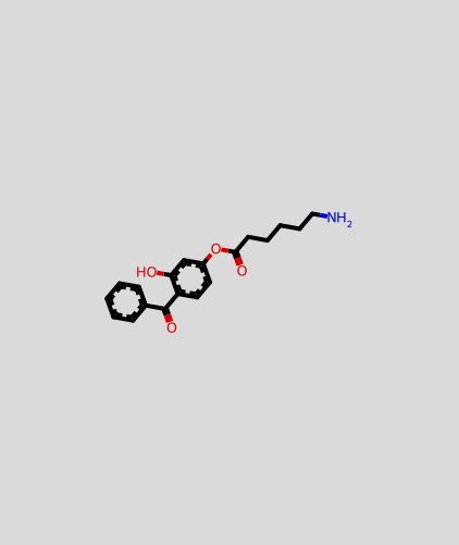 NCCCCCC(=O)Oc1ccc(C(=O)c2ccccc2)c(O)c1